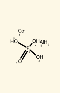 O=P(O)(O)O.[AlH3].[Co]